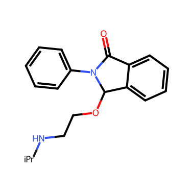 CC(C)NCCOC1c2ccccc2C(=O)N1c1ccccc1